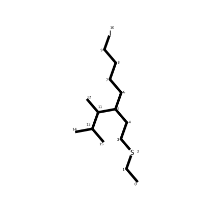 CCSCCC(CCCCI)C(C)C(C)C